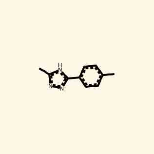 Cc1c[c]c(-c2nnc(C)[nH]2)cc1